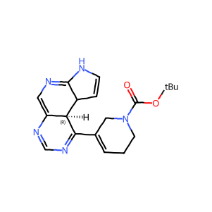 CC(C)(C)OC(=O)N1CCC=C(C2=NC=NC3=CN=C4NC=CC4[C@H]32)C1